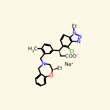 CC[C@@H]1CN(Cc2cc([C@H](CC(=O)[O-])c3ccc4c(nnn4CC)c3Cl)ccc2C)Cc2ccccc2O1.[Na+]